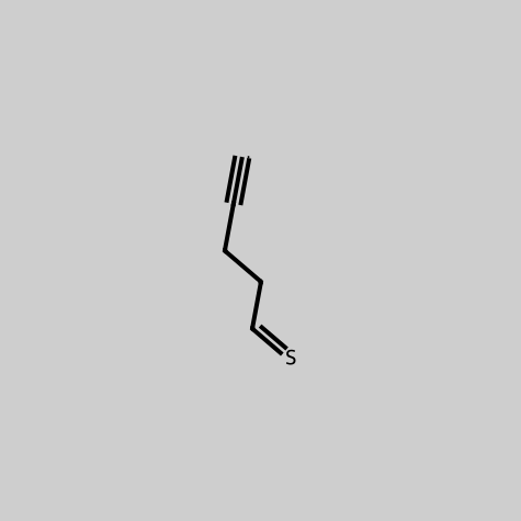 [C]#CCCC=S